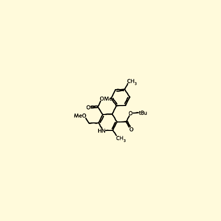 COCC1=C(C(=O)OC)C(c2ccc(C)cc2)C(C(=O)OC(C)(C)C)=C(C)N1